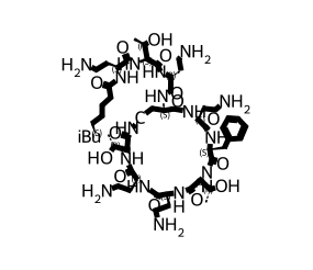 CC[C@H](C)CCCCC(=O)N[C@@H](CCN)C(=O)N[C@H](C(=O)N[C@H](CCN)C(=O)N[C@H]1CCNC(=O)[C@H]([C@@H](C)O)NC(=O)[C@H](CCN)NC(=O)[C@H](CCN)NC(=O)[C@H]([C@@H](C)O)NC(=O)[C@H](Cc2ccccc2)NC(=O)[C@H](CCN)NC1=O)[C@@H](C)O